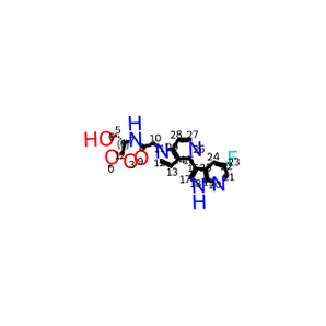 COC(=O)[C@H](CO)NC(=O)Cn1ccc2c(-c3c[nH]c4ncc(F)cc34)nccc21